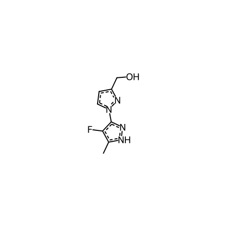 Cc1[nH]nc(-n2ccc(CO)n2)c1F